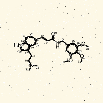 COc1cc(CNC(=O)C=Cc2ccc3[nH]cc(CCN(C)C)c3c2)cc(OC)c1OC